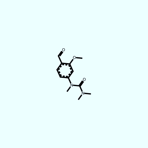 COc1cc(N(C)C(=O)N(C)C)ccc1C=O